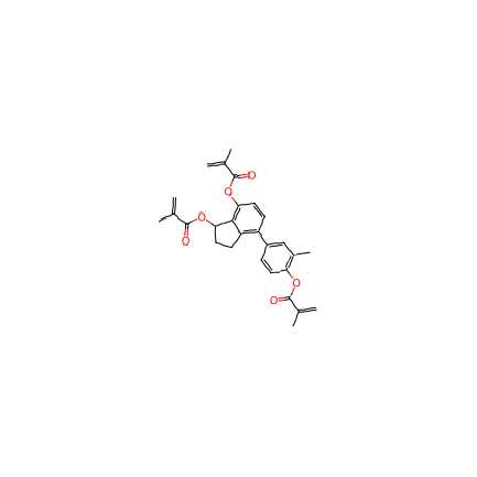 C=C(C)C(=O)Oc1ccc(-c2ccc(OC(=O)C(=C)C)c3c2CCC3OC(=O)C(=C)C)cc1C